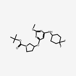 CSc1nc(NC2CCC(F)(F)CC2)cc(OC2CCN(C(=O)OC(C)(C)C)C2)n1